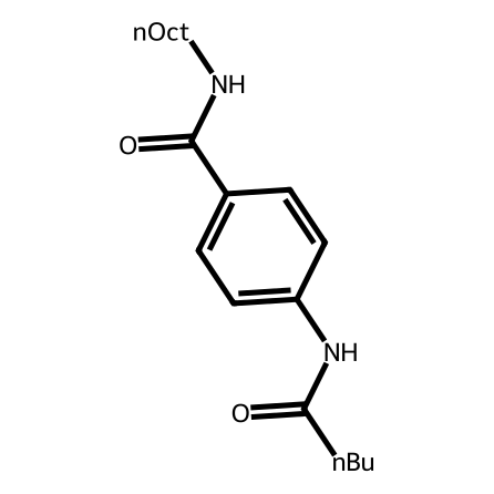 CCCCCCCCNC(=O)c1ccc(NC(=O)CCCC)cc1